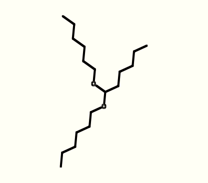 CCCCCCOC(CCCCC)OCCCCCC